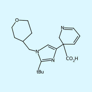 CC(C)(C)c1nc(C2(C(=O)O)C=CC=NC2)cn1CC1CCOCC1